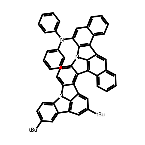 CC(C)(C)c1ccc2c(c1)c1cc(C(C)(C)C)cc3c4c5c6c7ccccc7cc7c8c9ccccc9cc(N(c9ccccc9)c9ccccc9)c8n(c5ccc4n2c13)c76